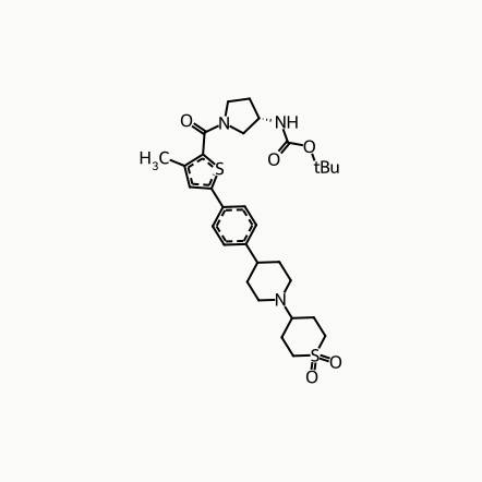 Cc1cc(-c2ccc(C3CCN(C4CCS(=O)(=O)CC4)CC3)cc2)sc1C(=O)N1CC[C@H](NC(=O)OC(C)(C)C)C1